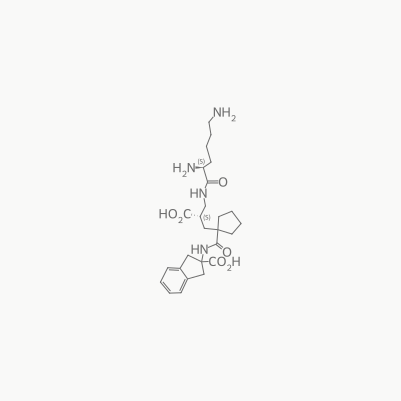 NCCCC[C@H](N)C(=O)NC[C@H](CC1(C(=O)NC2(C(=O)O)Cc3ccccc3C2)CCCC1)C(=O)O